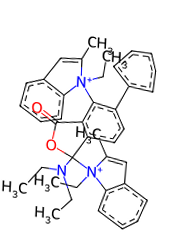 CCN(CC)C1([N+]2(CC)C(C)=Cc3ccccc32)OC(=O)c2c1ccc(-c1ccccc1)c2[N+]1(CC)C(C)=Cc2ccccc21